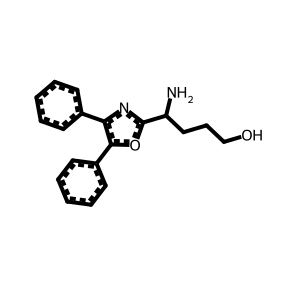 NC(CCCO)c1nc(-c2ccccc2)c(-c2ccccc2)o1